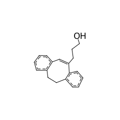 OCCC/C1=C/c2ccccc2CCc2ccccc21